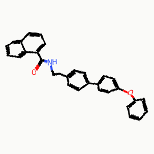 O=C(NCc1ccc(-c2ccc(Oc3ccccc3)cc2)cc1)c1cccc2ccccc12